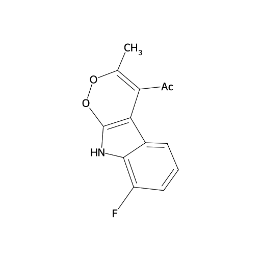 CC(=O)C1=C(C)OOc2[nH]c3c(F)cccc3c21